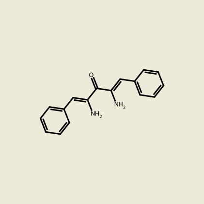 NC(=Cc1ccccc1)C(=O)C(N)=Cc1ccccc1